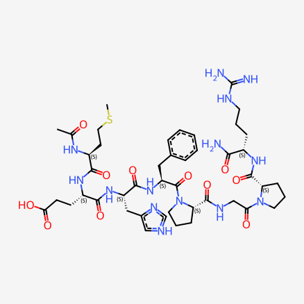 CSCC[C@H](NC(C)=O)C(=O)N[C@@H](CCC(=O)O)C(=O)N[C@@H](Cc1c[nH]cn1)C(=O)N[C@@H](Cc1ccccc1)C(=O)N1CCC[C@H]1C(=O)NCC(=O)N1CCC[C@H]1C(=O)N[C@@H](CCCNC(=N)N)C(N)=O